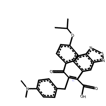 CC(C)Oc1ccc(C(=O)/C(Cc2ccc(N(C)C)cc2)=C(/C(=O)O)c2ccc3nsnc3c2)cc1